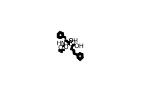 CC(C)(C)OC(=O)N[C@@H](Cc1ccccc1)[C@@H](O)C[C@@H](CC=Cc1ccccc1)C(=O)O